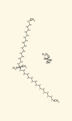 CCCCCCCCCCCCCCCCCC[N+](C)(C)CCCCCCCCCCCCCCCCCC.COS(=O)(=O)O